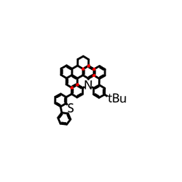 CC(C)(C)c1ccc(N(c2ccc(-c3cccc4c3sc3ccccc34)cc2)c2ccccc2-c2cccc3cccc(C4CCCCC4)c23)c(-c2ccccc2)c1